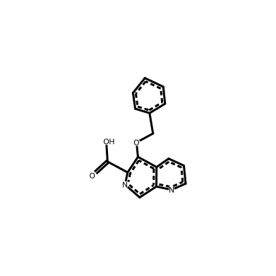 O=C(O)c1ncc2ncccc2c1OCc1ccccc1